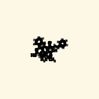 CC(C)(C)OC(=O)N[C@H](CCc1ccccc1)C(=O)N[C@H](Cc1ccccc1)C(=O)N1CCC[C@@H]1C(=O)O